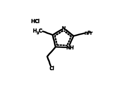 CCCc1nc(C)c(CCl)[nH]1.Cl